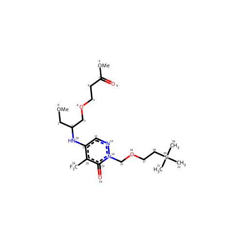 COCC(COCCC(=O)OC)Nc1cnn(COCC[Si](C)(C)C)c(=O)c1C(F)(F)F